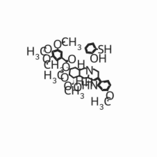 COC(=O)[C@H]1[C@H]2C[C@@H]3c4[nH]c5cc(OC)ccc5c4CCN3C[C@H]2C[C@@H](OC(=O)c2cc(OC)c(OC)c(OC)c2)[C@@H]1OC.Oc1ccccc1S